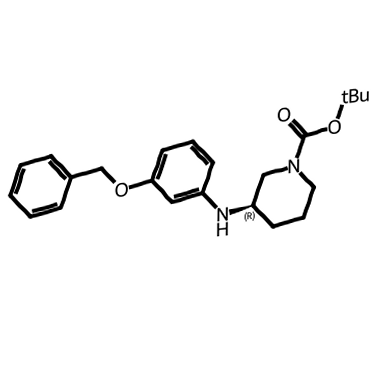 CC(C)(C)OC(=O)N1CCC[C@@H](Nc2cccc(OCc3ccccc3)c2)C1